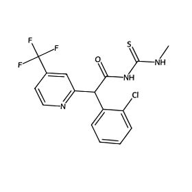 CNC(=S)NC(=O)C(c1cc(C(F)(F)F)ccn1)c1ccccc1Cl